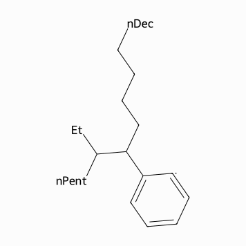 CCCCCCCCCCCCCCC(c1[c]cccc1)C(CC)CCCCC